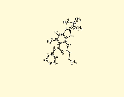 CCCCOc1c2c(c(F)c(C)c1C(=O)Oc1ccccc1)CN([C@H](C)C(C)C)C2